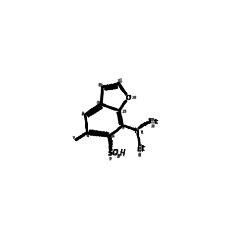 CCN(CC)c1c(S(=O)(=O)O)c(C)cc2ccoc12